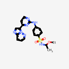 CCOC(C)NS(=O)(=O)c1ccc(Nc2nccc(-c3cnc4cccnn34)n2)cc1